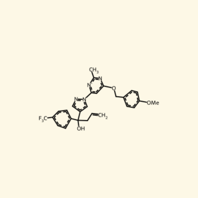 C=CCC(O)(c1ccc(C(F)(F)F)cc1)c1cnn(-c2cc(OCc3ccc(OC)cc3)nc(C)n2)c1